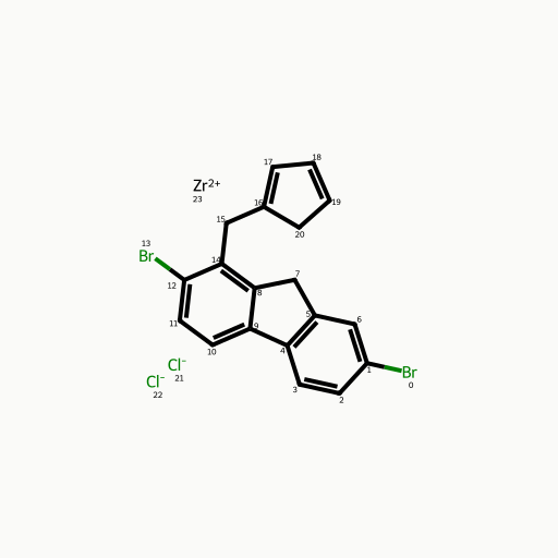 Brc1ccc2c(c1)Cc1c-2ccc(Br)c1CC1=CC=CC1.[Cl-].[Cl-].[Zr+2]